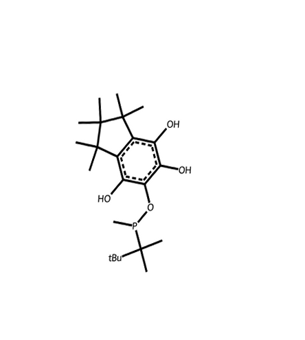 CP(Oc1c(O)c(O)c2c(c1O)C(C)(C)C(C)(C)C2(C)C)C(C)(C)C(C)(C)C